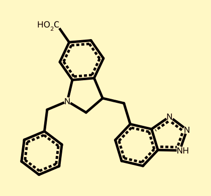 O=C(O)c1ccc2c(c1)N(Cc1ccccc1)CC2Cc1cccc2[nH]nnc12